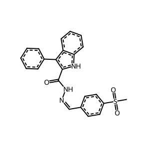 CS(=O)(=O)c1ccc(/C=N\NC(=O)c2[nH]c3ccccc3c2-c2ccccc2)cc1